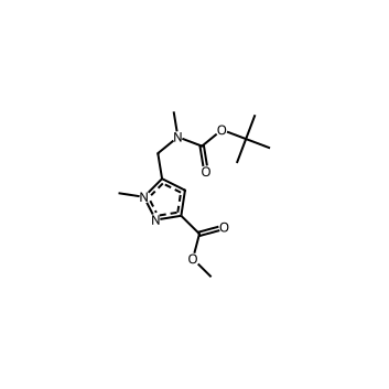 COC(=O)c1cc(CN(C)C(=O)OC(C)(C)C)n(C)n1